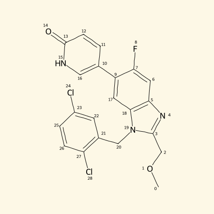 COCc1nc2cc(F)c(-c3ccc(=O)[nH]c3)cc2n1Cc1cc(Cl)ccc1Cl